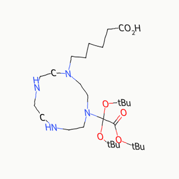 CC(C)(C)OC(=O)C(OC(C)(C)C)(OC(C)(C)C)N1CCNCCNCCN(CCCCCC(=O)O)CC1